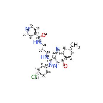 Cc1ccc(C(=O)c2nn(-c3ccc(Cl)cc3)c(NCCCNC(=O)c3ccncc3)c2C#N)cc1